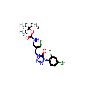 CC(C)(C)OC(=O)NCC(=CF)Cn1nnn(-c2ccc(Br)cc2F)c1=O